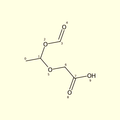 CC(OC=O)OCC(=O)O